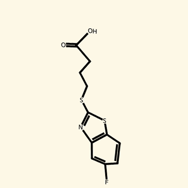 O=C(O)CCCSc1nc2cc(F)ccc2s1